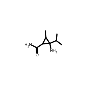 CC(C)C1(N)C(C)C1C(N)=O